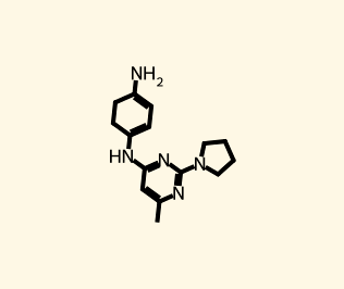 Cc1cc(NC2=CC=C(N)CC2)nc(N2CCCC2)n1